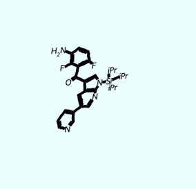 CC(C)[Si](C(C)C)(C(C)C)n1cc(C(=O)c2c(F)ccc(N)c2F)c2cc(-c3cccnc3)cnc21